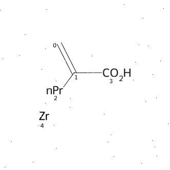 C=C(CCC)C(=O)O.[Zr]